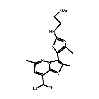 CCC(CC)c1cc(C)nn2c(-c3sc(NCCSC)nc3C)c(C)nc12